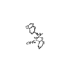 CN(C1=NC(C=O)c2cccnc2S1)c1ccc2occc2c1